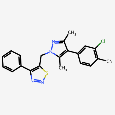 Cc1nn(Cc2snnc2-c2ccccc2)c(C)c1-c1ccc(C#N)c(Cl)c1